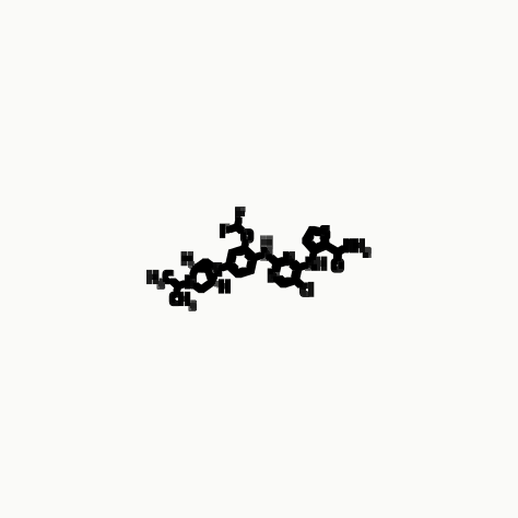 CC(C)N1C[C@H]2C[C@@H]1CN2c1ccc(Nc2ncc(Cl)c(Nc3ccsc3C(N)=O)n2)c(OC(F)F)c1